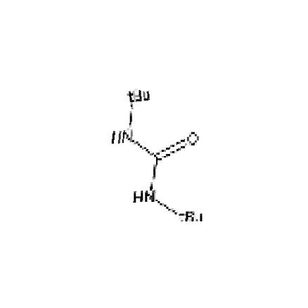 CC(C)(C)NC(=O)NC(C)(C)C